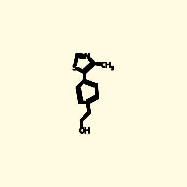 Cc1ncsc1-c1ccc(CCO)cc1